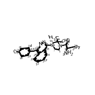 CC(C)C(N)C(=O)N1CCN(c2nnc(-c3ccc(Cl)cc3)c3ccccc23)CC1(C)C